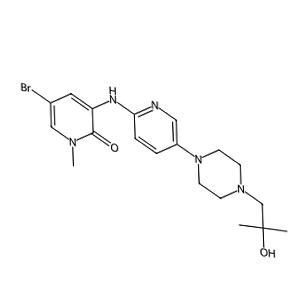 Cn1cc(Br)cc(Nc2ccc(N3CCN(CC(C)(C)O)CC3)cn2)c1=O